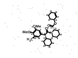 COc1cc([C@@H](C(=O)N2CCCC[C@H]2C(=O)OC2C=CCCC2)C2CCCCC2)cc(C)c1OC